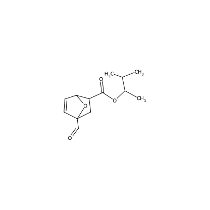 CC(C)C(C)OC(=O)C1CC2(C=O)C=CC1O2